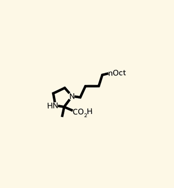 CCCCCCCCCCCCN1CCNC1(C)C(=O)O